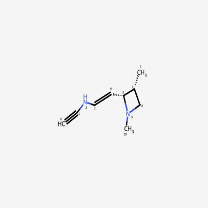 C#CN/C=C/[C@@H]1[C@H](C)CN1C